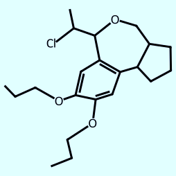 CCCOc1cc2c(cc1OCCC)C(C(C)Cl)OCC1CCCC21